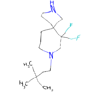 CC(C)(C)CN1CCC2(CNC2)C(F)(F)C1